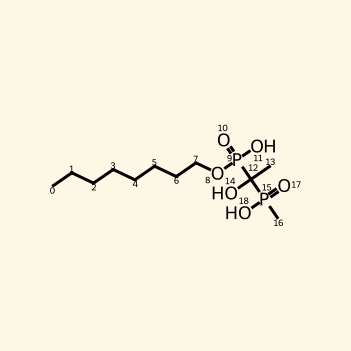 CCCCCCCCOP(=O)(O)C(C)(O)P(C)(=O)O